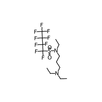 CCN(CC)CCCN(CC)S(=O)(=O)C(F)(F)C(F)(F)C(F)(F)C(F)(F)F